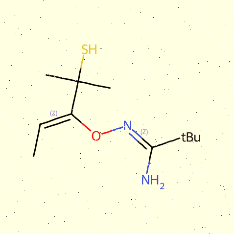 C/C=C(\O/N=C(\N)C(C)(C)C)C(C)(C)S